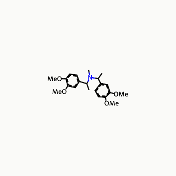 COc1ccc(C(C)N(C)C(C)c2ccc(OC)c(OC)c2)cc1OC